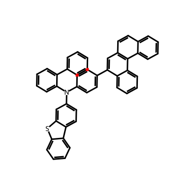 c1ccc(-c2ccccc2N(c2ccc(-c3cc4ccc5ccccc5c4c4ccccc34)cc2)c2ccc3c(c2)sc2ccccc23)cc1